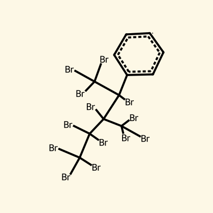 BrC(Br)(Br)C(Br)(Br)C(Br)(C(Br)(Br)Br)C(Br)(c1cc[c]cc1)C(Br)(Br)Br